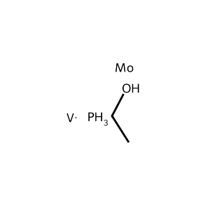 CCO.P.[Mo].[V]